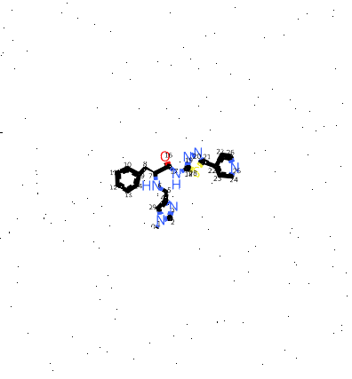 Cn1cnc(CN[C@@H](Cc2ccccc2)C(=O)Nc2nnc(-c3ccncc3)s2)c1